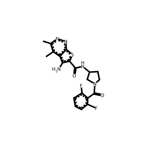 Cc1nnc2sc(C(=O)NC3CCN(C(=O)c4c(F)cccc4F)C3)c(N)c2c1C